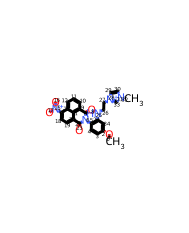 COc1ccc(N2C(=O)c3cccc4c([N+](=O)[O-])ccc(c34)C2=O)c(NCC[n+]2ccn(C)c2)c1